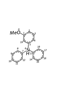 COc1cccc([SiH](c2ccccc2)c2ccccc2)c1